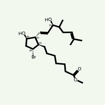 COC(=O)CCCCCC[C@@H]1[C@@H](C=C[C@@H](O)C(C)CC=C(C)C)[C@H](O)C[C@H]1Br